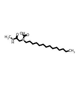 CCCCCCCCCCCCCCN(CC(=O)NC)C(=O)O